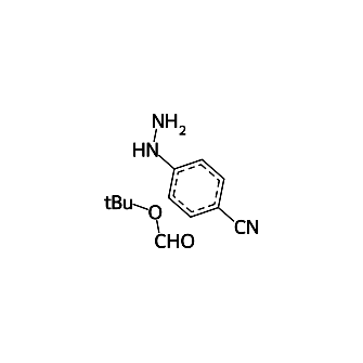 CC(C)(C)OC=O.N#Cc1ccc(NN)cc1